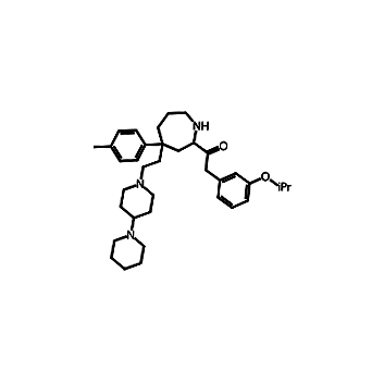 Cc1ccc(C2(CCN3CCC(N4CCCCC4)CC3)CCCNC(C(=O)Cc3cccc(OC(C)C)c3)C2)cc1